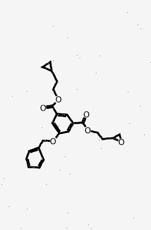 O=C(OCCC1CC1)c1cc(OCc2ccccc2)cc(C(=O)OCCC2CO2)c1